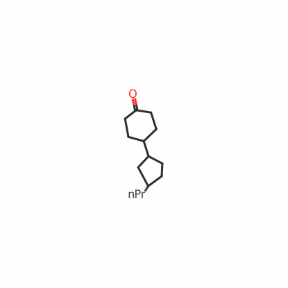 CCCC1CCC(C2CCC(=O)CC2)C1